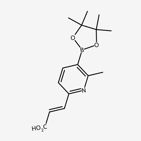 Cc1nc(/C=C/C(=O)O)ccc1B1OC(C)(C)C(C)(C)O1